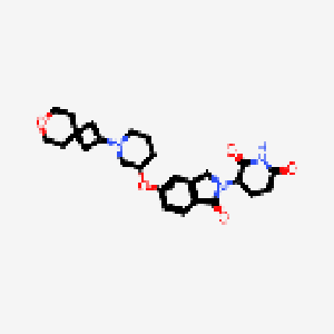 O=C1CCC(N2Cc3cc(O[C@@H]4CCCN(C5CC6(CCOCC6)C5)C4)ccc3C2=O)C(=O)N1